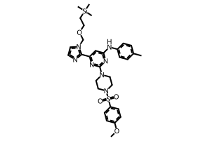 COc1ccc(S(=O)(=O)N2CCN(c3nc(Nc4ccc(C)cc4)cc(-c4nccn4COCC[Si](C)(C)C)n3)CC2)cc1